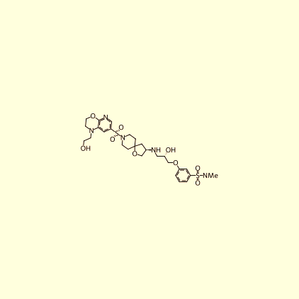 CNS(=O)(=O)c1cccc(OC[C@@H](O)CN[C@H]2COC3(CCN(S(=O)(=O)c4cnc5c(c4)N(CCO)CCO5)CC3)C2)c1